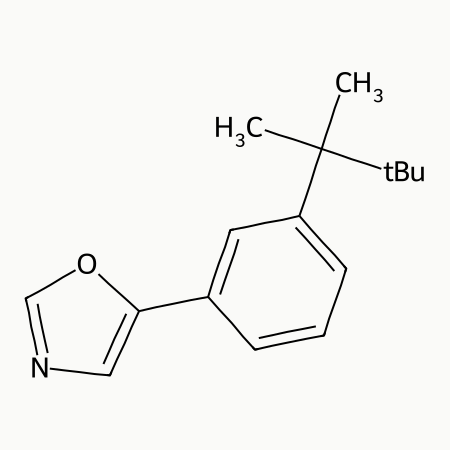 CC(C)(C)C(C)(C)c1cccc(-c2cnco2)c1